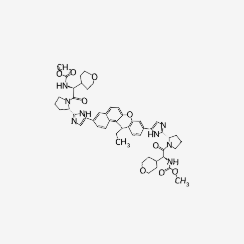 CCC1c2ccc(-c3cnc([C@@H]4CCCN4C(=O)[C@@H](NC(=O)OC)C4CCOCC4)[nH]3)cc2Oc2ccc3cc(-c4cnc([C@@H]5CCCN5C(=O)[C@@H](NC(=O)OC)C5CCOCC5)[nH]4)ccc3c21